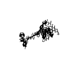 Cc1ncsc1-c1ccc([C@H](CC(=O)NCCCCNC(=O)COc2c(-c3csc(N4CCOCC4)n3)ccc(F)c2F)NC(=O)[C@@H]2C[C@@H](O)CN2C(=O)C(NC(=O)C2(F)CC2)C(C)(C)C)cc1